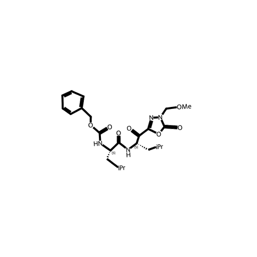 COCn1nc(C(=O)[C@H](CC(C)C)NC(=O)[C@H](CC(C)C)NC(=O)OCc2ccccc2)oc1=O